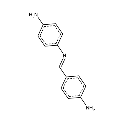 Nc1ccc(C=Nc2ccc(N)cc2)cc1